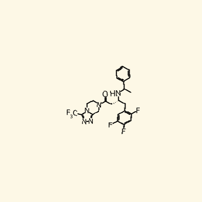 CC(N[C@@H](CC(=O)N1CCn2c(nnc2C(F)(F)F)C1)Cc1cc(F)c(F)cc1F)c1ccccc1